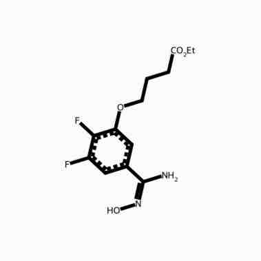 CCOC(=O)CCCOc1cc(/C(N)=N\O)cc(F)c1F